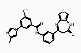 Cc1cn(-c2cc(C(=O)Nc3cccc(C4=Nc5cscc5NC(=O)C4)c3)cc(C(F)(F)F)c2)cn1